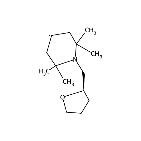 CC1(C)C[CH]CC(C)(C)N1C[C@H]1CCCO1